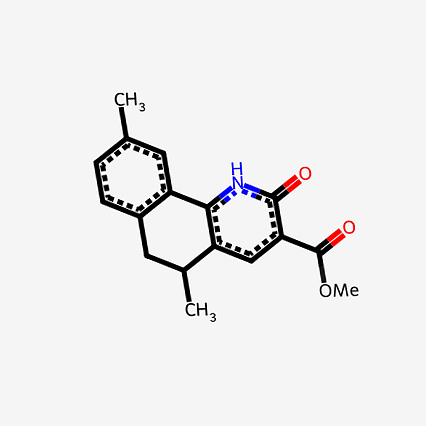 COC(=O)c1cc2c([nH]c1=O)-c1cc(C)ccc1CC2C